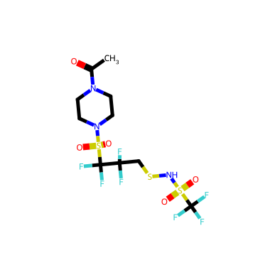 CC(=O)N1CCN(S(=O)(=O)C(F)(F)C(F)(F)CSNS(=O)(=O)C(F)(F)F)CC1